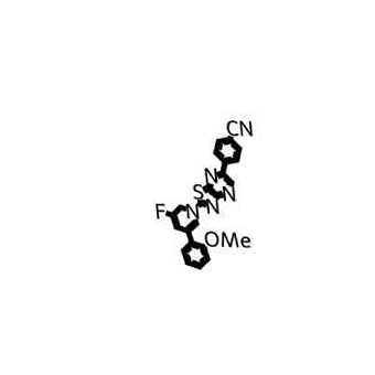 COc1ccccc1C1=CN(c2nc3ncc(-c4ccc(C#N)cc4)nc3s2)CC(F)=C1